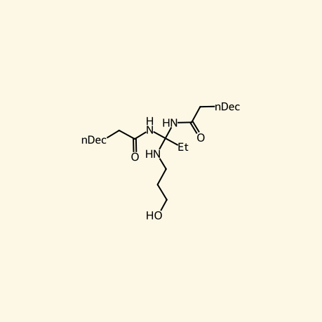 CCCCCCCCCCCC(=O)NC(CC)(NCCCO)NC(=O)CCCCCCCCCCC